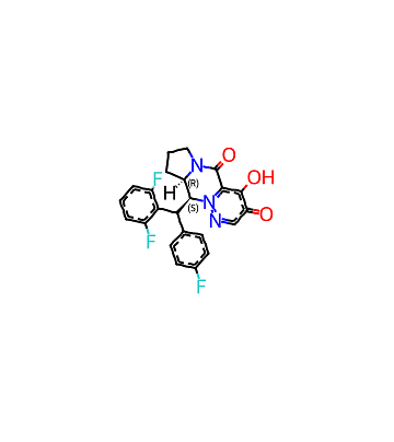 O=C1c2c(O)c(=O)cnn2[C@@H](C(c2ccc(F)cc2)c2c(F)cccc2F)[C@H]2CCCN12